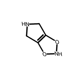 C1NCC2=C1ONO2